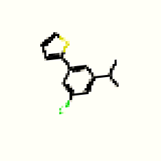 CC(C)c1cc(Cl)cc(-c2cccs2)c1